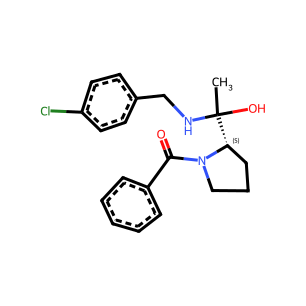 CC(O)(NCc1ccc(Cl)cc1)[C@@H]1CCCN1C(=O)c1ccccc1